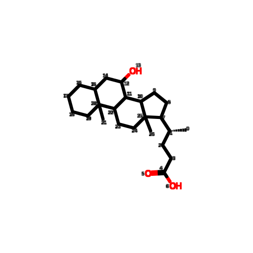 C[C@H](CCC(=O)O)C1CCC2C3C(O)CC4CCCCC4(C)C3CCC21C